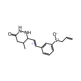 C=CC[S+]([O-])c1cccc(/C=C/C2NNC(=O)CC2C)c1